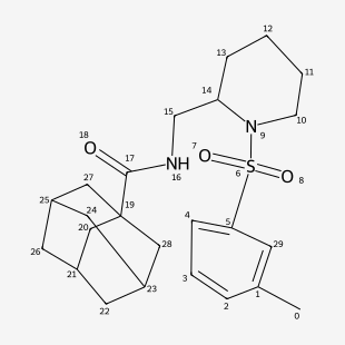 Cc1cccc(S(=O)(=O)N2CCCCC2CNC(=O)C23CC4CC(CC(C4)C2)C3)c1